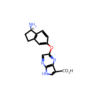 N[C@@H]1CCc2cc(Oc3cnc4[nH]cc(C(=O)O)c4n3)ccc21